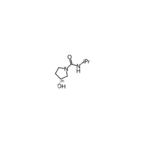 CC(C)NC(=O)N1CC[C@@H](O)C1